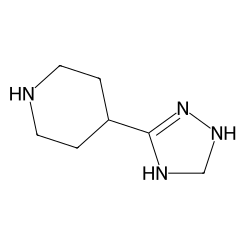 C1CC(C2=NNCN2)CCN1